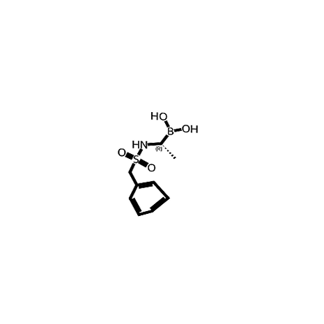 C[C@H](NS(=O)(=O)Cc1ccccc1)B(O)O